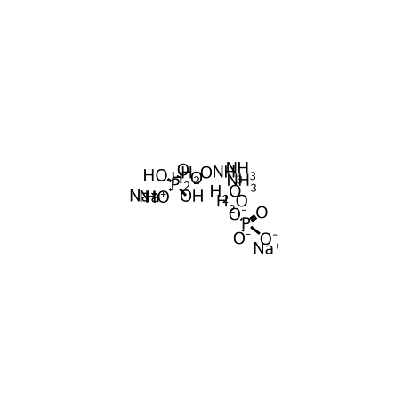 N.N.N.O.O.O.O.O=P(O)(O)O.O=P([O-])([O-])[O-].[Na+].[Na+].[Na+]